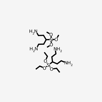 CCO[Si](OCC)(OCC)C(CCN)CCN.CO[Si](OC)(OC)C(CCN)CCN